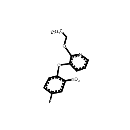 CCOC(=O)COc1ncccc1Oc1ccc(F)cc1[N+](=O)[O-]